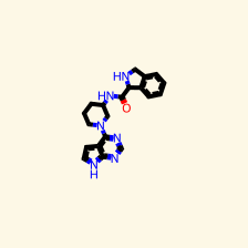 O=C(NC1CCCN(c2ncnc3[nH]ccc23)C1)C1NCc2ccccc21